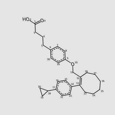 O=C(O)CCCc1ccc(OC/C2=C(\c3ccc(C4CC4)cc3)CCCCCC2)cc1